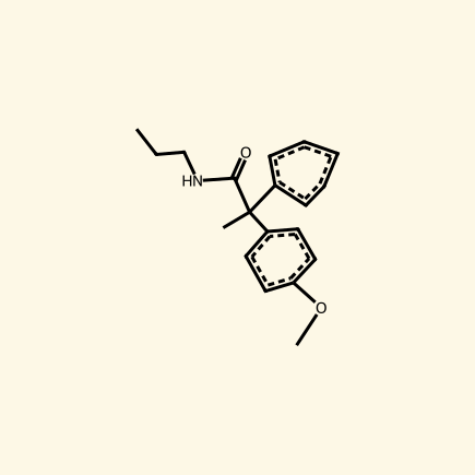 CCCNC(=O)C(C)(c1ccccc1)c1ccc(OC)cc1